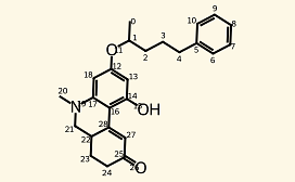 CC(CCCc1ccccc1)Oc1cc(O)c2c(c1)N(C)CC1CCC(=O)C=C21